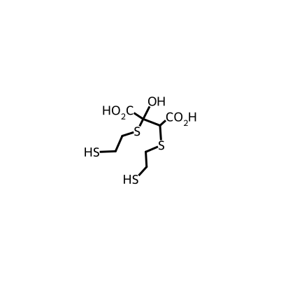 O=C(O)C(SCCS)C(O)(SCCS)C(=O)O